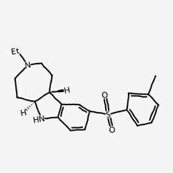 CCN1CC[C@@H]2Nc3ccc(S(=O)(=O)c4cccc(C)c4)cc3[C@H]2CC1